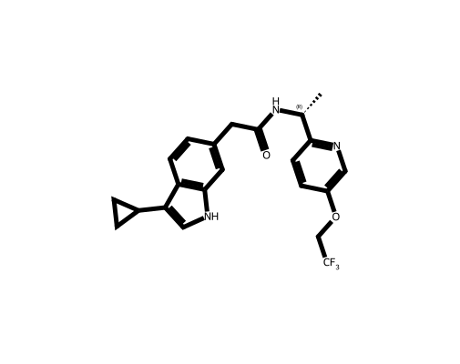 C[C@@H](NC(=O)Cc1ccc2c(C3CC3)c[nH]c2c1)c1ccc(OCC(F)(F)F)cn1